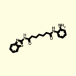 Nc1ccccc1NC(=O)CCCCCC(=O)Nc1nc2ccccc2s1